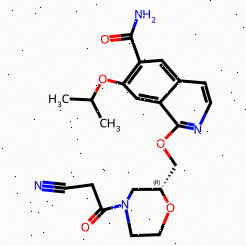 CC(C)Oc1cc2c(OC[C@H]3CN(C(=O)CC#N)CCO3)nccc2cc1C(N)=O